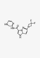 O=C(NC1=NC=CNC1)C1=CNC2C=CC(N3CC(F)(F)C3)=NN12